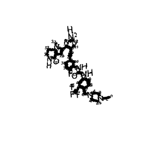 CCN1CCN(Cc2ccc(NC(=O)Nc3cc(C#Cc4cnc(N)nc4-c4cc5c(n4C)CCNC5=O)ccc3F)cc2C(F)(F)F)CC1